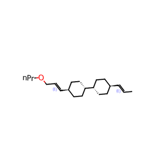 C/C=C/[C@H]1CC[C@H]([C@H]2CC[C@H](/C=C/COCCC)CC2)CC1